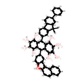 Bc1c(B)c(B)c2c(-c3ccc4oc5ccc6ccccc6c5c4c3)c3c(B)c(B)c(B)c(B)c3c(-c3ccc4c(c3)C(C)(C)c3cc(-c5ccccc5)ccc3-4)c2c1B